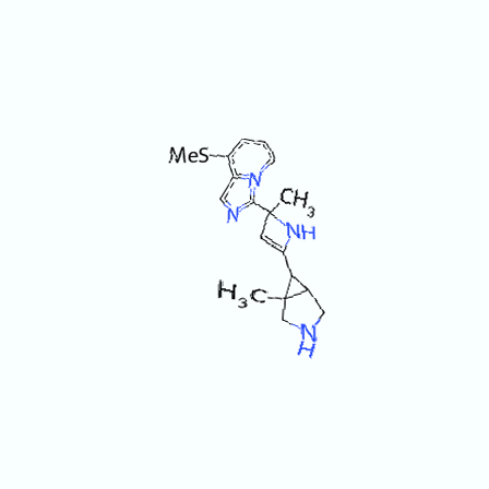 CSc1cccn2c(C3(C)C=C(C4C5CNCC54C)N3)ncc12